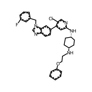 Fc1cccc(Cn2cnc3ccc(-c4cc(N[C@H]5CC[C@H](NCCOc6ccccc6)CC5)ncc4Cl)cc32)c1